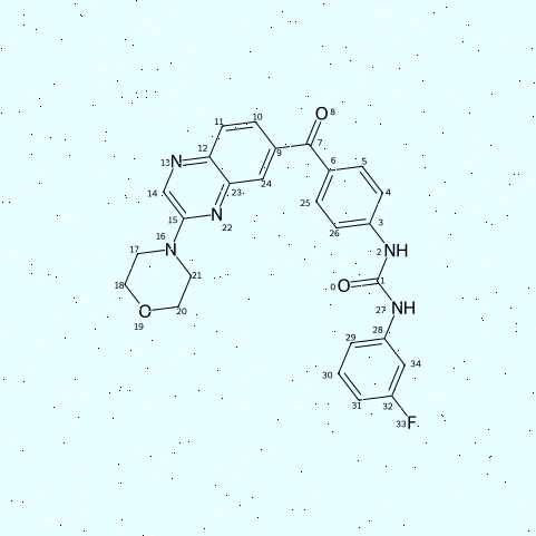 O=C(Nc1ccc(C(=O)c2ccc3ncc(N4CCOCC4)nc3c2)cc1)Nc1cccc(F)c1